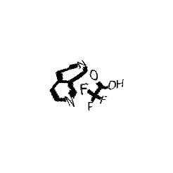 O=C(O)C(F)(F)F.c1cc2ccncc2cn1